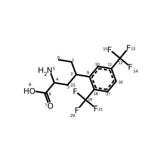 CCC(CC(N)C(=O)O)c1cc(C(F)(F)F)ccc1C(F)(F)F